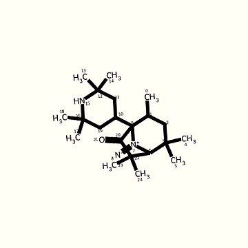 CC1CC(C)(C)C2[N+](=[N-])C1(C1CC(C)(C)NC(C)(C)C1)C(=O)C2(C)C